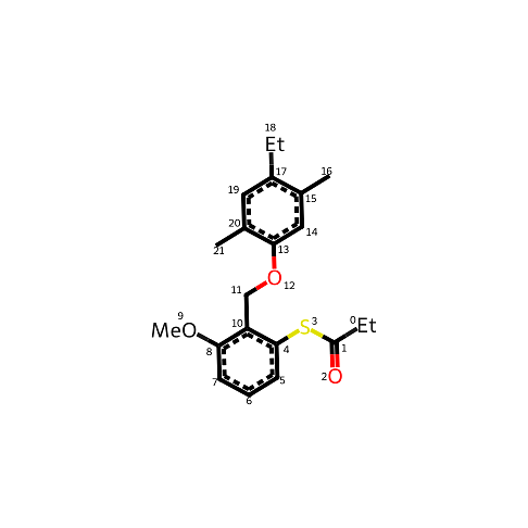 CCC(=O)Sc1cccc(OC)c1COc1cc(C)c(CC)cc1C